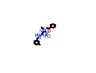 Cc1cccc(/C=N/Nc2nc(Cl)nc3c2nc(C)n3CC(=O)c2ccccc2)c1